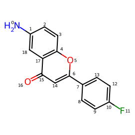 Nc1ccc2oc(-c3ccc(F)cc3)cc(=O)c2c1